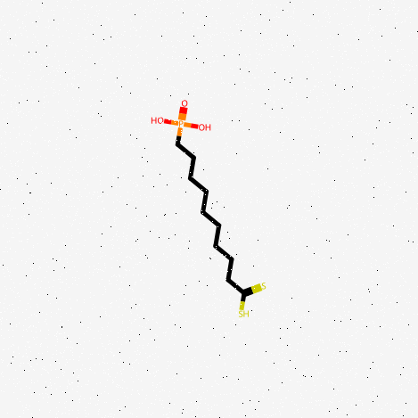 O=P(O)(O)CCCCCCCCCC(=S)S